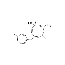 B/C1=C/C(B)(C)/C=C\C(CC2=CC=CC(C)C=C2)=C/C(C)C1